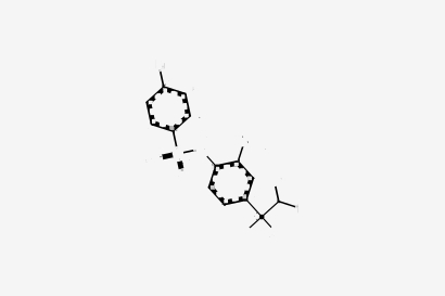 O=[N+]([O-])c1cc(C(F)(C(F)F)C(F)(F)F)ccc1OS(=O)(=O)c1ccc(Br)cc1